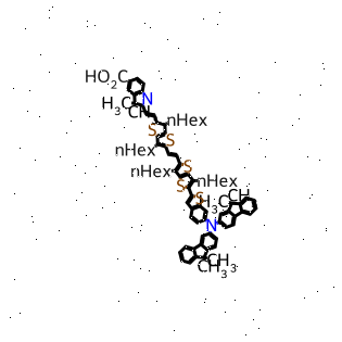 CCCCCCc1c(/C=C/c2sc3c(CCCCCC)c(-c4cc5ccc(N(c6ccc7c(c6)-c6ccccc6C7(C)C)c6ccc7c(c6)C(C)(C)c6ccccc6-7)cc5s4)sc3c2CCCCCC)sc2c1SC(/C=C/C1=Nc3ccc(C(=O)O)cc3C1(C)C)C2CCCCCC